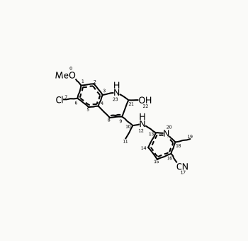 COc1cc2c(cc1Cl)C=C(C(C)Nc1ccc(C#N)c(C)n1)C(O)N2